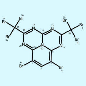 BrC1=CC(Br)=C2N=C(C(Br)(Br)Br)N=C3N=C(C(Br)(Br)Br)N=C1N32